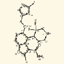 Cc1ncc(COc2ccc3oc(C)c(C(N)=O)c3c2C2CCNCC2(F)F)s1